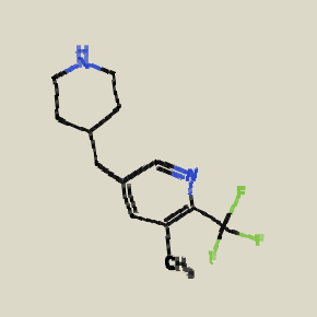 Cc1cc(CC2CCNCC2)cnc1C(F)(F)F